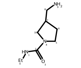 CCNC(=O)N1CCC(CN)C1